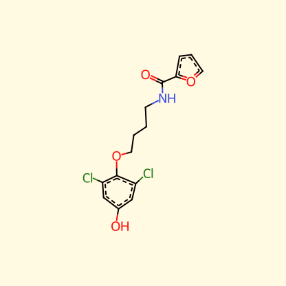 O=C(NCCCCOc1c(Cl)cc(O)cc1Cl)c1ccco1